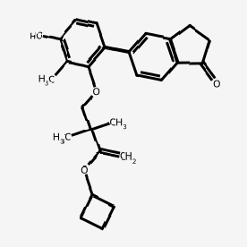 C=C(OC1CCC1)C(C)(C)COc1c(-c2ccc3c(c2)CCC3=O)ccc(O)c1C